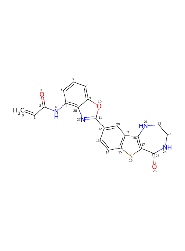 C=CC(=O)Nc1cccc2oc(-c3ccc4sc5c(c4c3)NCCNC5=O)nc12